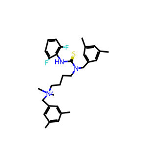 Cc1cc(C)cc(CN(CCCC[N+](C)(C)Cc2cc(C)cc(C)c2)C(=S)Nc2c(F)cccc2F)c1